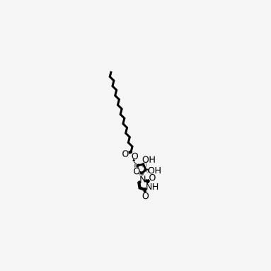 CCCCCCCCCCCCCCCCCC(=O)OC[C@H]1O[C@@H](n2ccc(=O)[nH]c2=O)[C@H](O)[C@@H]1O